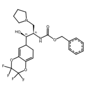 O=C(N[C@H](CN1CCCC1)[C@H](O)C1C=C2OC(F)(F)C(F)(F)OC2=CC1)OCc1ccccc1